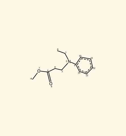 CCN(CCC(=O)OC)c1ccccc1